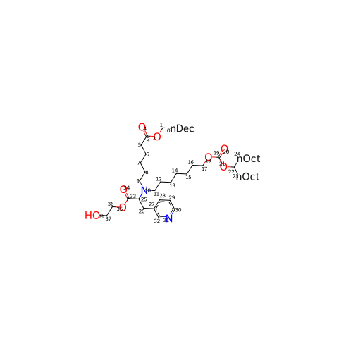 CCCCCCCCCCCOC(=O)CCCCCN(CCCCCCCOC(=O)OC(CCCCCCCC)CCCCCCCC)C(Cc1cccnc1)C(=O)OCCO